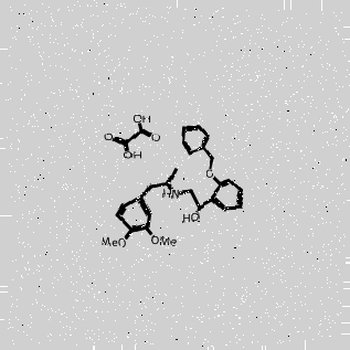 COc1ccc(CC(C)NCC(O)c2ccccc2OCc2ccccc2)cc1OC.O=C(O)C(=O)O